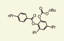 CCCCOC(=O)Oc1cc(C(C)C)cc(C(C)C)c1OC(=O)c1ccc(CCC)cc1